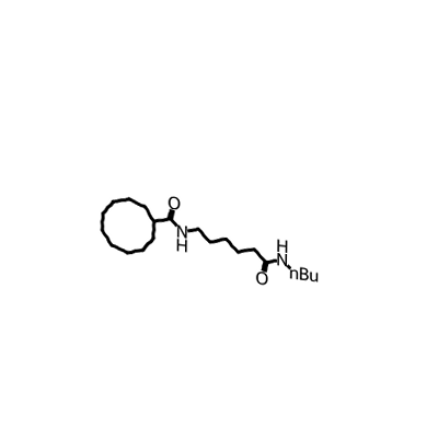 CCCCNC(=O)CCCCCNC(=O)C1CCCCCCCCC1